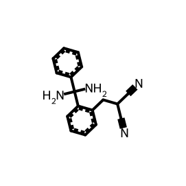 N#CC(C#N)Cc1ccccc1C(N)(N)c1ccccc1